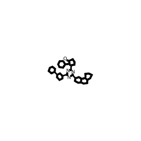 c1ccc(-c2cccc(-c3nc(-c4ccc5ccc6ccccc6c5c4)nc(-c4cccc5oc6ccccc6c45)n3)c2)cc1